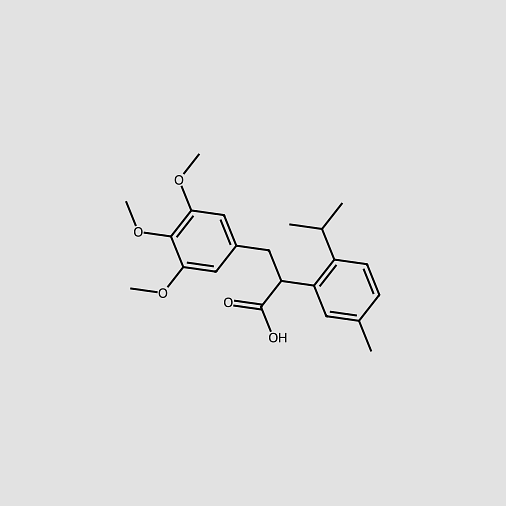 COc1cc(CC(C(=O)O)c2cc(C)ccc2C(C)C)cc(OC)c1OC